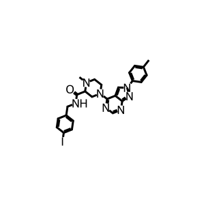 Cc1ccc(-n2cc3c(N4CCN(C)C(C(=O)NCc5ccc(I)cc5)C4)ncnc3n2)cc1